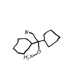 [SiH3]OC(CBr)(C1CCCCC1)C1CCCCC1